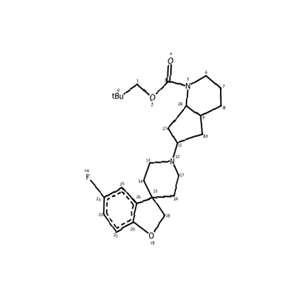 CC(C)(C)COC(=O)N1CCCC2CC(N3CCC4(CC3)COc3ccc(F)cc34)CC21